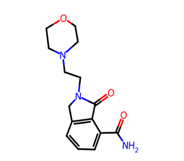 NC(=O)c1cccc2c1C(=O)N(CCN1CCOCC1)C2